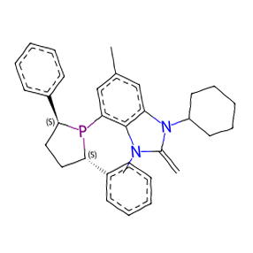 C=C1N(C)c2c(cc(C)cc2P2[C@H](c3ccccc3)CC[C@H]2c2ccccc2)N1C1CCCCC1